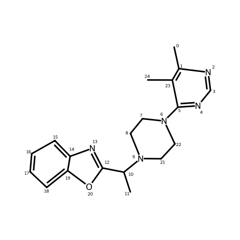 Cc1ncnc(N2CCN(C(C)c3nc4ccccc4o3)CC2)c1C